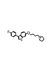 Fc1ccc(-c2csc3cc(OCCCCN4CCCC4)ccc23)cc1